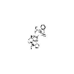 CCC(NC(=O)CCS(=O)(=O)Cc1ccccc1OC(F)F)C(=O)C(=O)N(CC)C1CCCC1